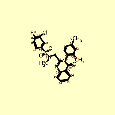 Cc1ccc(-n2c(CN(C)S(=O)(=O)c3ccc(F)c(Cl)c3)nc3ccccc3c2=O)c(C)c1